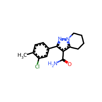 Cc1ccc(-c2nn3c(c2C(N)=O)CCCC3)cc1Cl